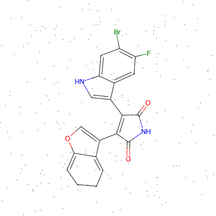 O=C1NC(=O)C(c2c[nH]c3cc(Br)c(F)cc23)=C1c1coc2c1=CCCC=2